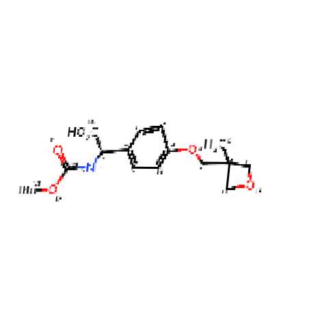 CC1(COc2ccc([C@@H](NC(=O)OC(C)(C)C)C(=O)O)cc2)COC1